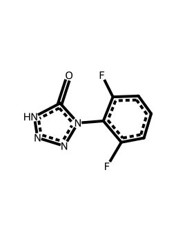 O=c1[nH]nnn1-c1c(F)cccc1F